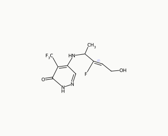 CC(Nc1cn[nH]c(=O)c1C(F)(F)F)/C(F)=C/CO